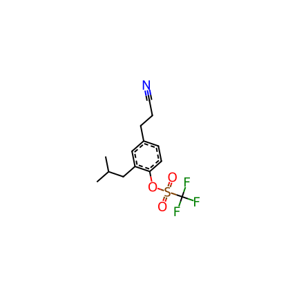 CC(C)Cc1cc(CCC#N)ccc1OS(=O)(=O)C(F)(F)F